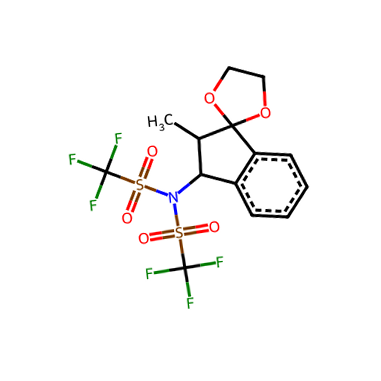 CC1C(N(S(=O)(=O)C(F)(F)F)S(=O)(=O)C(F)(F)F)c2ccccc2C12OCCO2